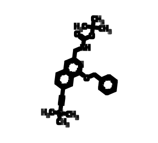 CC(C)(C)OC(=O)NCc1cc2ccc(C#C[Si](C)(C)C)cc2c(OCc2ccccc2)n1